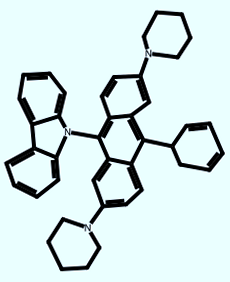 C1=CCC(c2c3cc(N4CCCCC4)ccc3c(-n3c4ccccc4c4ccccc43)c3cc(N4CCCCC4)ccc23)C=C1